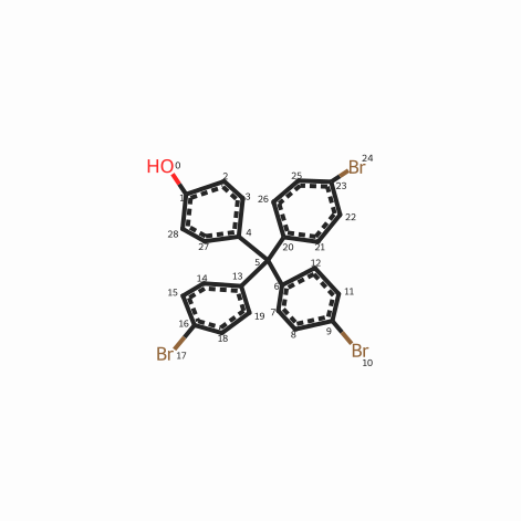 Oc1ccc(C(c2ccc(Br)cc2)(c2ccc(Br)cc2)c2ccc(Br)cc2)cc1